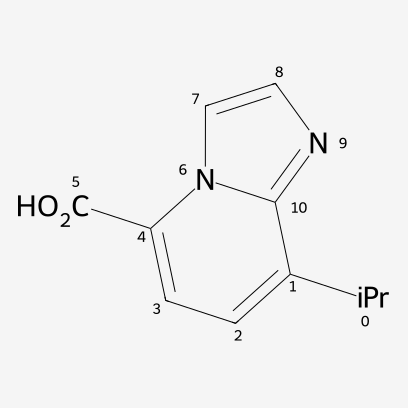 CC(C)c1ccc(C(=O)O)n2ccnc12